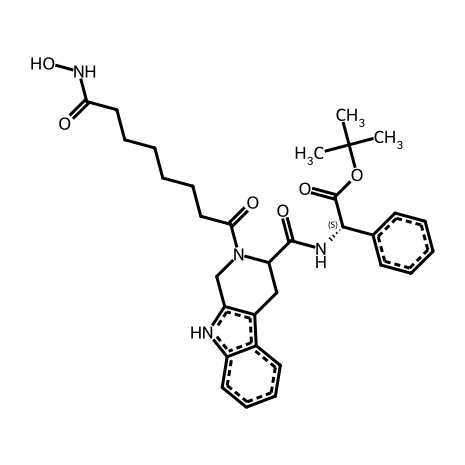 CC(C)(C)OC(=O)[C@@H](NC(=O)C1Cc2c([nH]c3ccccc23)CN1C(=O)CCCCCCC(=O)NO)c1ccccc1